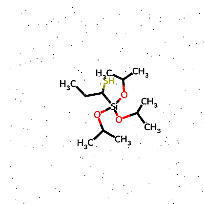 CCC(S)[Si](OC(C)C)(OC(C)C)OC(C)C